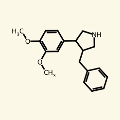 COc1ccc(C2CNCC2Cc2ccccc2)cc1OC